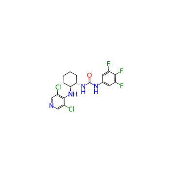 O=C(Nc1cc(F)c(F)c(F)c1)N[C@H]1CCCC[C@@H]1Nc1c(Cl)cncc1Cl